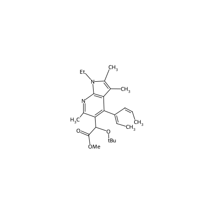 C/C=C\C(=C/C)c1c(C(OC(C)(C)C)C(=O)OC)c(C)nc2c1c(C)c(C)n2CC